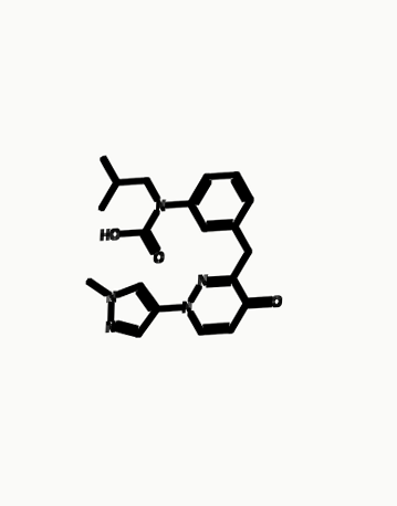 CC(C)CN(C(=O)O)c1cccc(Cc2nn(-c3cnn(C)c3)ccc2=O)c1